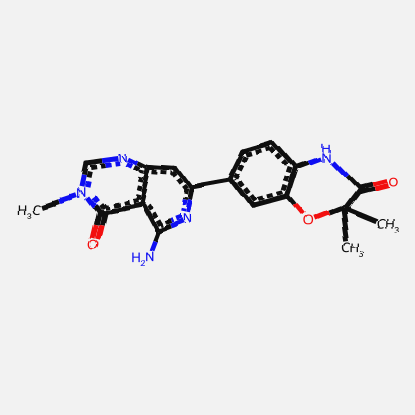 Cn1cnc2cc(-c3ccc4c(c3)OC(C)(C)C(=O)N4)nc(N)c2c1=O